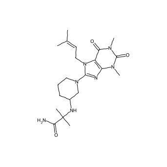 CC(C)=CCn1c(N2CCCC(NC(C)(C)C(N)=O)C2)nc2c1c(=O)n(C)c(=O)n2C